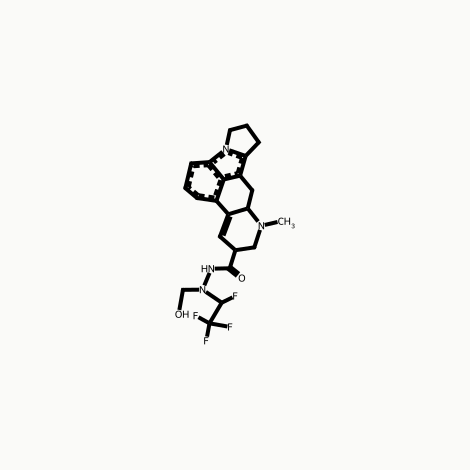 CN1CC(C(=O)NN(CO)C(F)C(F)(F)F)C=C2c3cccc4c3c(c3n4CCC3)CC21